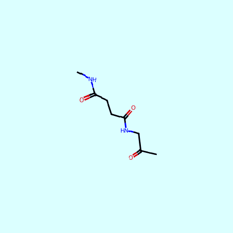 CNC(=O)CCC(=O)NCC(C)=O